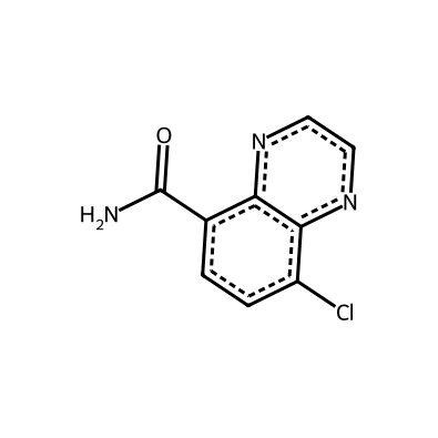 NC(=O)c1ccc(Cl)c2nccnc12